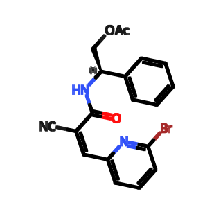 CC(=O)OC[C@H](NC(=O)C(C#N)=Cc1cccc(Br)n1)c1ccccc1